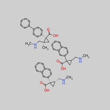 CNCC1CC1(C(=O)O)c1ccc2ccccc2c1.CNC[C@@H]1C[C@]1(C(=O)O)c1ccc2ccccc2c1.CNC[C@]1(C)C[C@@]1(C(=O)O)c1ccc(-c2ccccc2)cc1